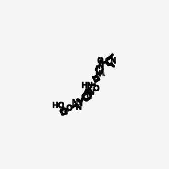 Cc1cc(C(=O)N2CCN([C@H]3C[C@@H](C(=O)Nc4cc5cc(-c6cnc(CO[C@H]7CCC[C@@H]7O)nc6)ccn5n4)C3)[C@@H](C)C2)cc(C)n1